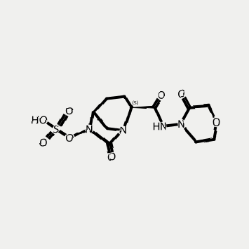 O=C(NN1CCOCC1=O)[C@@H]1CCC2CN1C(=O)N2OS(=O)(=O)O